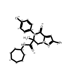 CC(C)c1cc2n(n1)CC(C)(C(=O)NC1CCCCCC1)N(c1ccc(Cl)cc1)C2=O